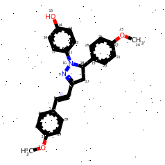 COc1ccc(/C=C/C2=NN(c3ccc(O)cc3)C(c3ccc(OC)cc3)C2)cc1